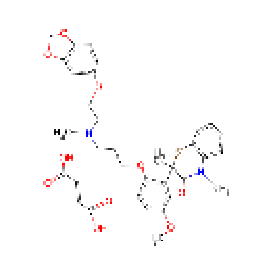 COc1ccc(OCCCN(C)CCOc2ccc3c(c2)OCO3)c(C2(C)Sc3ccccc3N(C)C2=O)c1.O=C(O)/C=C/C(=O)O